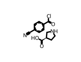 N#Cc1ccc(C(=O)Cl)cc1.O=C(O)[C@@H]1CCNC1